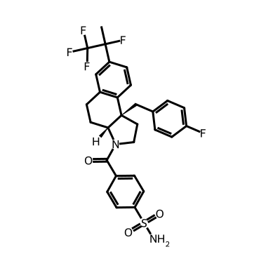 CC(F)(c1ccc2c(c1)CC[C@H]1N(C(=O)c3ccc(S(N)(=O)=O)cc3)CC[C@@]21Cc1ccc(F)cc1)C(F)(F)F